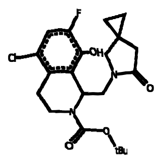 CC(C)(C)OC(=O)N1CCc2c(Cl)cc(F)c(O)c2C1CN1CC2(CC2)CC1=O